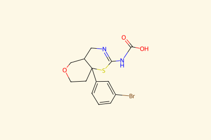 O=C(O)NC1=NCC2COCCC2(c2cccc(Br)c2)S1